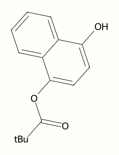 CC(C)(C)C(=O)Oc1ccc(O)c2ccccc12